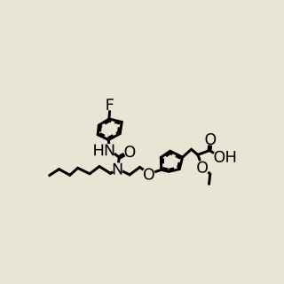 CCCCCCCN(CCOc1ccc(CC(OCC)C(=O)O)cc1)C(=O)Nc1ccc(F)cc1